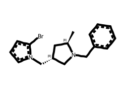 C[C@@H]1C[C@@H](Cn2cccc2Br)CN1Cc1ccccc1